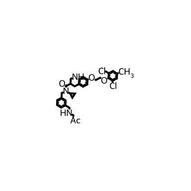 CC(=O)CNCc1cccc(CN(C(=O)C(CN)Cc2ccc(OCCOc3c(Cl)cc(C)cc3Cl)cc2)C2CC2)c1